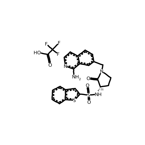 Nc1nccc2ccc(CN3CC[C@H](NS(=O)(=O)c4cc5ccccc5s4)C3=O)cc12.O=C(O)C(F)(F)F